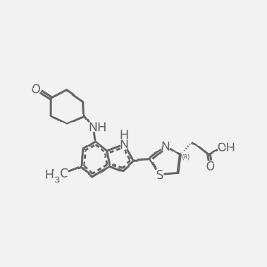 Cc1cc(NC2CCC(=O)CC2)c2[nH]c(C3=N[C@H](CC(=O)O)CS3)cc2c1